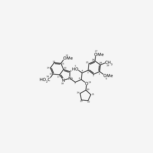 COc1cc(C(O)C(Cn2cc3c(OC)ccc(C(=O)O)c3n2)OC2CCCC2)cc(OC)c1C